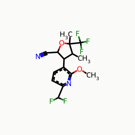 COc1nc(C(F)F)ccc1C1C(C#N)OC(C)(C(F)(F)F)C1C